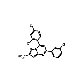 O=C(O)c1cc2nc(-c3cccc(Cl)c3)cc(-c3ccc(Cl)cc3Cl)n2n1